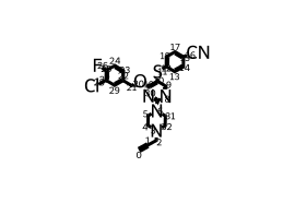 C#CCN1CCN(c2ncc(Sc3ccc(C#N)cc3)c(OCc3ccc(F)c(Cl)c3)n2)CC1